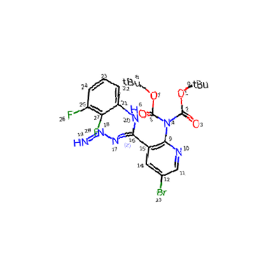 CC(C)(C)OC(=O)N(C(=O)OC(C)(C)C)c1ncc(Br)cc1/C(=N/N=N)Nc1cccc(F)c1F